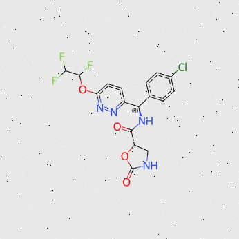 O=C1NCC(C(=O)N[C@H](c2ccc(Cl)cc2)c2ccc(OC(F)C(F)F)nn2)O1